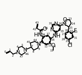 C=CCN1CCN(C2CCN(c3cc(OC)c(Nc4cc(N5OCCC5c5ccc(Cl)cc5F)ncn4)cc3NC(=O)C=C)CC2)CC1